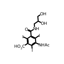 CC(=O)Nc1c(I)c(C(=O)O)c(I)c(C(=O)NCC(O)CO)c1I